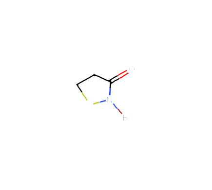 O=C1CCSN1Br